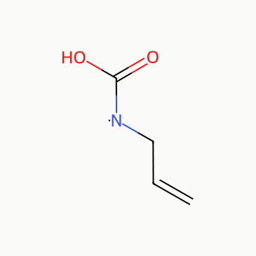 C=CC[N]C(=O)O